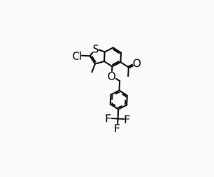 CC(=O)C1=C(OCc2ccc(C(F)(F)F)cc2)C2C(C)=C(Cl)SC2C=C1